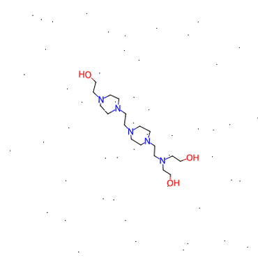 OCCN(CCO)CCN1CCN(CCN2CCN(CCO)CC2)CC1